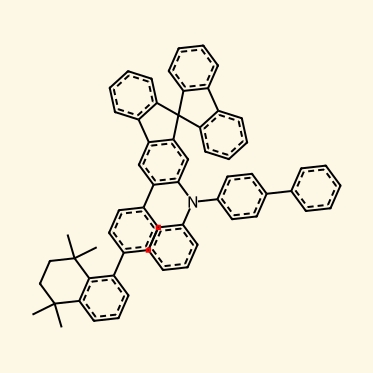 CC1(C)CCC(C)(C)c2c(-c3ccc(-c4cc5c(cc4N(c4ccccc4)c4ccc(-c6ccccc6)cc4)C4(c6ccccc6-c6ccccc64)c4ccccc4-5)cc3)cccc21